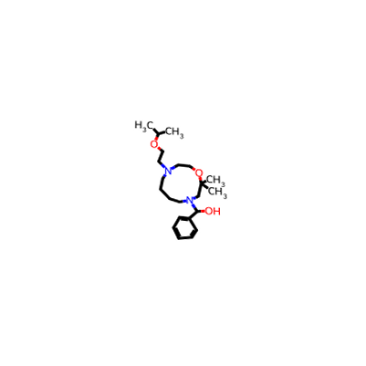 CC(C)OCCN1CCCCN(C(O)c2ccccc2)CC(C)(C)OCC1